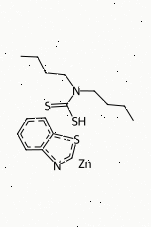 CCCCN(CCCC)C(=S)S.[Zn].c1ccc2scnc2c1